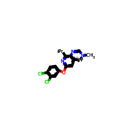 CC(C)c1cc(Oc2ccc(Cl)c(Cl)c2)nc(C(C)C)c1/N=C\N(C)C